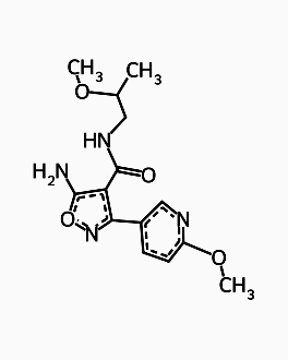 COc1ccc(-c2noc(N)c2C(=O)NCC(C)OC)cn1